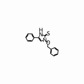 S=c1[nH]c(-c2ccccc2)cn1OCc1ccccc1